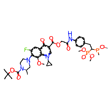 COc1c(N2CCN(C(=O)OC(C)(C)C)C(C)C2)c(F)cc2c(=O)c(C(=O)OCC(=O)Nc3ccc(CC(P(C)OC)P(=O)(OC)OC)cc3)cn(C3CC3)c12